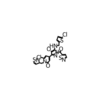 COc1c(-c2cc(Cl)n(Cc3ccsn3)c(=O)c2)nn(C(=O)c2ccns2)c1NCc1ccc(Cl)s1